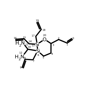 C=CCC1CC[Si](CC=C)(C(N)N)[Si](CC=C)(CC=C)O1